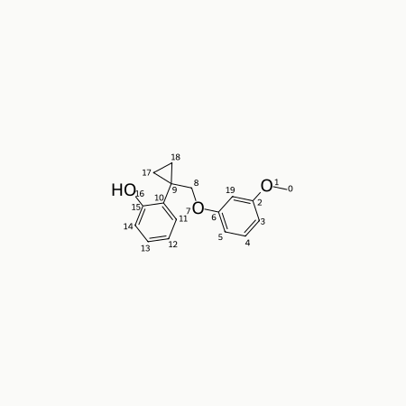 COc1cccc(OCC2(c3ccccc3O)CC2)c1